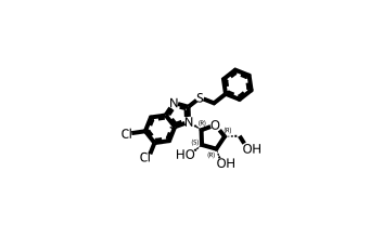 OC[C@H]1O[C@@H](n2c(SCc3ccccc3)nc3cc(Cl)c(Cl)cc32)[C@@H](O)[C@H]1O